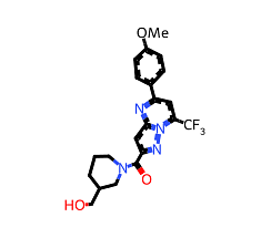 COc1ccc(-c2cc(C(F)(F)F)n3nc(C(=O)N4CCCC(CO)C4)cc3n2)cc1